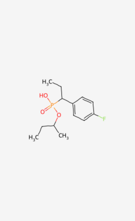 CCC(C)OP(=O)(O)C(CC)c1ccc(F)cc1